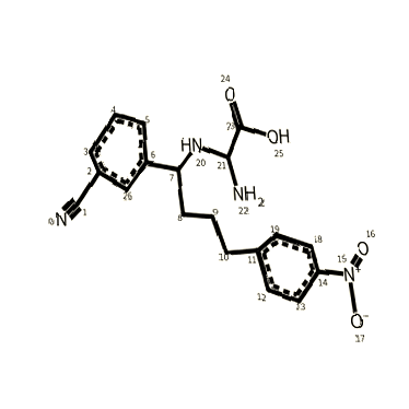 N#Cc1cccc(C(CCCc2ccc([N+](=O)[O-])cc2)NC(N)C(=O)O)c1